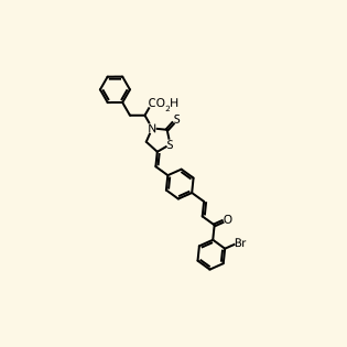 O=C(/C=C/c1ccc(C=C2CN(C(Cc3ccccc3)C(=O)O)C(=S)S2)cc1)c1ccccc1Br